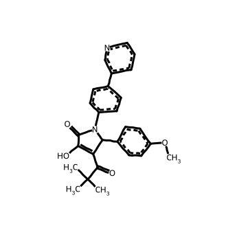 COc1ccc(C2C(C(=O)C(C)(C)C)=C(O)C(=O)N2c2ccc(-c3cccnc3)cc2)cc1